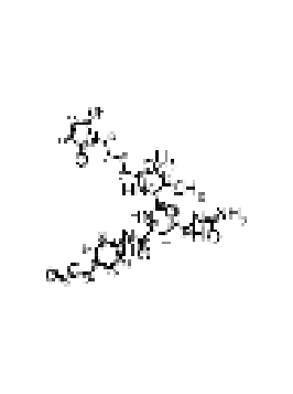 CC(C)[C@H](NC(=O)CCCCN1C(=O)C=CC1=O)C(=O)N[C@@H](CCCNC(N)=O)C(=O)Nc1ccc(COC=O)cc1